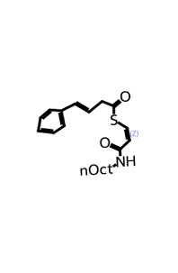 CCCCCCCCNC(=O)/C=C\SC(=O)CC=Cc1ccccc1